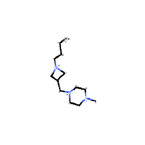 CN1CCN(CC2CN(CCCC(C)(C)C)C2)CC1